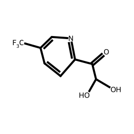 O=C(c1ccc(C(F)(F)F)cn1)C(O)O